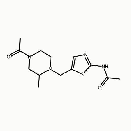 CC(=O)Nc1ncc(CN2CCN(C(C)=O)CC2C)s1